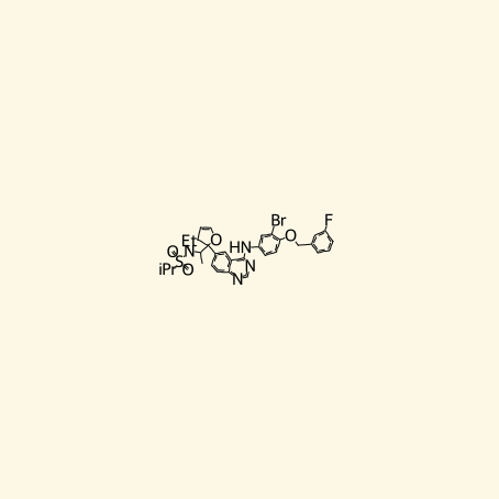 CCN(C(C)C1(c2ccc3ncnc(Nc4ccc(OCc5cccc(F)c5)c(Br)c4)c3c2)CC=CO1)S(=O)(=O)C(C)C